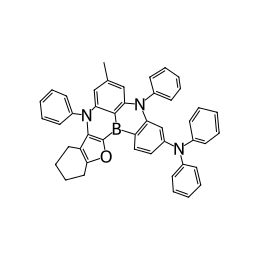 Cc1cc2c3c(c1)N(c1ccccc1)c1c(oc4c1CCCC4)B3c1ccc(N(c3ccccc3)c3ccccc3)cc1N2c1ccccc1